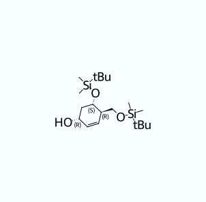 CC(C)(C)[Si](C)(C)OC[C@H]1C=C[C@H](O)C[C@@H]1O[Si](C)(C)C(C)(C)C